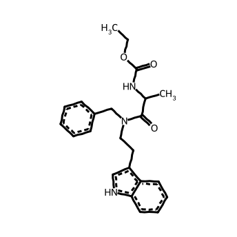 CCOC(=O)NC(C)C(=O)N(CCc1c[nH]c2ccccc12)Cc1ccccc1